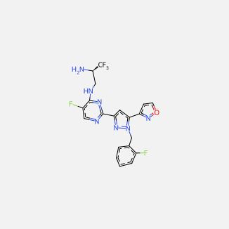 N[C@H](CNc1nc(-c2cc(-c3ccon3)n(Cc3ccccc3F)n2)ncc1F)C(F)(F)F